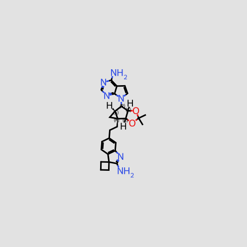 CC1(C)O[C@H]2[C@H](n3ccc4c(N)ncnc43)[C@H]3C[C@@]3(CCc3ccc4c(c3)N=C(N)C43CCC3)[C@H]2O1